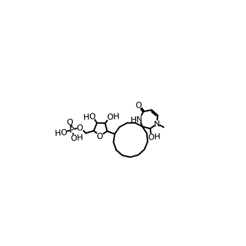 CN1C=CC(=O)NC2(CCCCCCCCC(C3OC(COP(=O)(O)O)C(O)C3O)CCC2)C1O